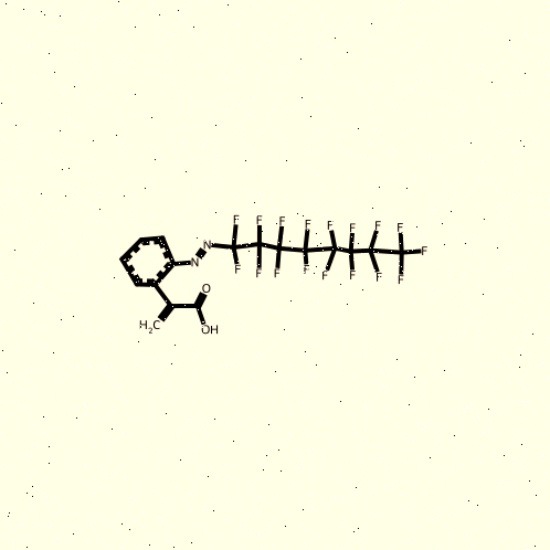 C=C(C(=O)O)c1ccccc1N=NC(F)(F)C(F)(F)C(F)(F)C(F)(F)C(F)(F)C(F)(F)C(F)(F)C(F)(F)F